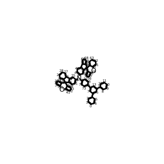 c1ccc(-c2cc(-c3ccccc3)cc(-c3ccc(N(c4ccc5c(c4)-c4ccccc4C54c5ccccc5Oc5ccccc54)c4ccc5c(c4)C4(c6ccccc6Oc6ccccc64)c4ccccc4-5)cc3)c2)cc1